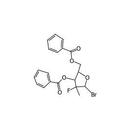 CC1(F)C(Br)OC(COC(=O)c2ccccc2)C1OC(=O)c1ccccc1